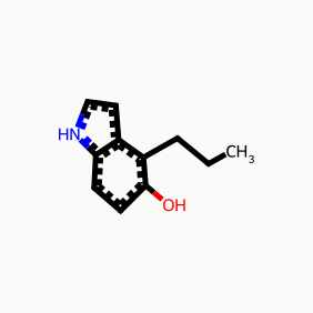 CCCc1c(O)ccc2[nH]ccc12